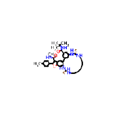 CNC(=O)c1c(-c2ccc(C)cc2)oc2cc3c(cc12)-c1cc(cc(C(=O)NC(C)(C)C)c1)NC(=S)NCCCCCCCCNC(=S)N3